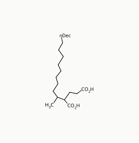 CCCCCCCCCCCCCCCCCCC(C)C(CCC(=O)O)C(=O)O